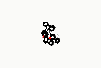 c1ccc(-n2c3ccccc3c3cccc(N(c4ccc5c(c4)oc4ccccc45)c4cccc5ccc6c7ccccc7oc6c45)c32)cc1